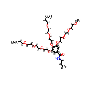 CCCOCCOCCOCCOc1cc(C(=O)NCCC(C)C)cc(OCCOCCOCCOCCOC)c1OCCOCCOCCC(=O)O